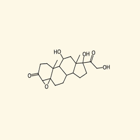 CC12CC(O)C3C(CCC45OC4C(=O)CCC35C)C1CCC2(O)C(=O)CO